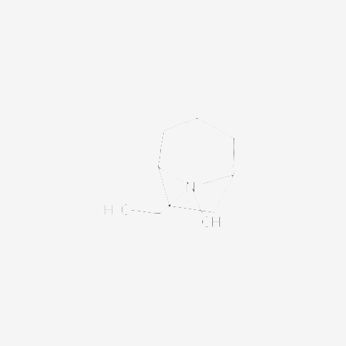 CC[N+]1(C)C2CCCC1CC2